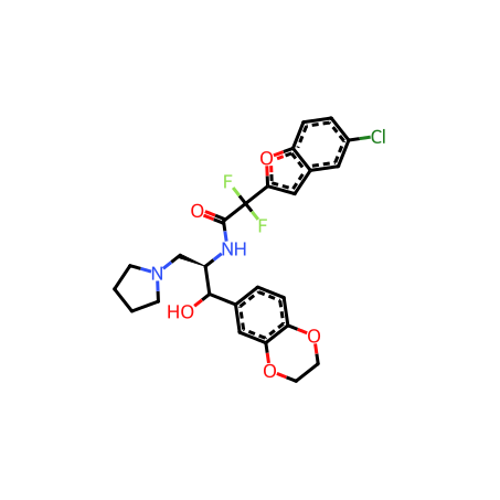 O=C(N[C@H](CN1CCCC1)C(O)c1ccc2c(c1)OCCO2)C(F)(F)c1cc2cc(Cl)ccc2o1